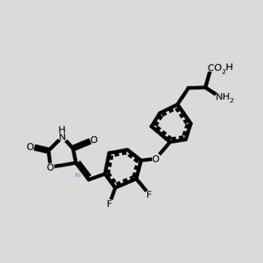 NC(Cc1ccc(Oc2ccc(/C=C3/OC(=O)NC3=O)c(F)c2F)cc1)C(=O)O